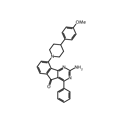 COc1ccc(C2CCN(c3cccc4c3-c3nc(N)nc(-c5ccccc5)c3C4=O)CC2)cc1